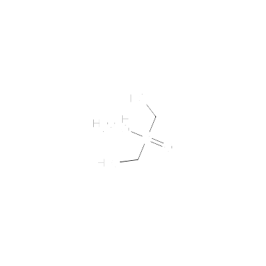 CCP(=O)(O)CC.O